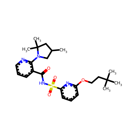 CC1CN(c2ncccc2C(=O)NS(=O)(=O)c2cccc(OCCC(C)(C)C)n2)C(C)(C)C1